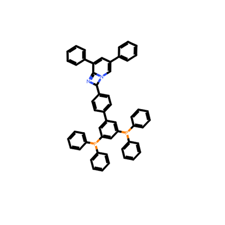 C1=C(c2ccccc2)C=C(c2ccccc2)C2=NC(c3ccc(-c4cc(P(c5ccccc5)c5ccccc5)cc(P(c5ccccc5)c5ccccc5)c4)cc3)N12